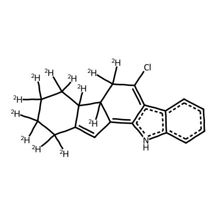 [2H]C1([2H])C2=CC3=c4[nH]c5ccccc5c4=C(Cl)C([2H])([2H])C3([2H])C2([2H])C([2H])([2H])C([2H])([2H])C1([2H])[2H]